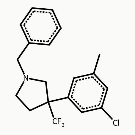 Cc1cc(Cl)cc(C2(C(F)(F)F)CCN(Cc3ccccc3)C2)c1